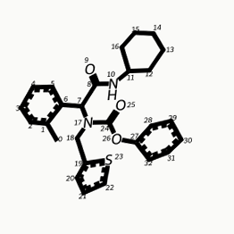 Cc1ccccc1C(C(=O)NC1CCCCC1)N(Cc1cccs1)C(=O)Oc1ccccc1